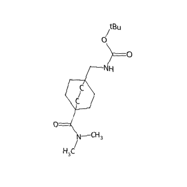 CN(C)C(=O)C12CCC(CNC(=O)OC(C)(C)C)(CC1)CC2